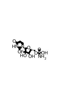 NP(=O)(O)OC[C@H]1O[C@@H](n2ccc(=O)[nH]c2=O)[C@@](O)(F)[C@@H]1O